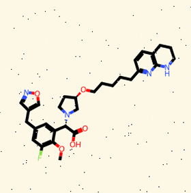 COc1c(F)cc(Cc2cnoc2)cc1[C@@H](C(=O)O)N1CC[C@@H](OCCCCCc2ccc3c(n2)NCCC3)C1